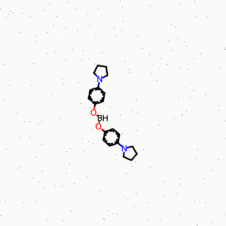 B(Oc1ccc(N2CCCC2)cc1)Oc1ccc(N2CCCC2)cc1